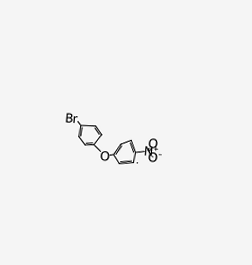 O=[N+]([O-])c1[c]cc(Oc2ccc(Br)cc2)cc1